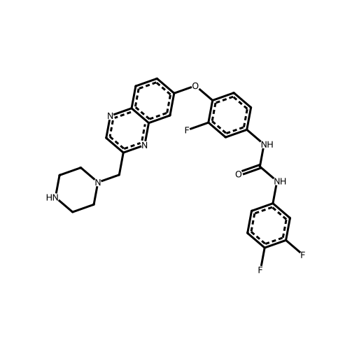 O=C(Nc1ccc(F)c(F)c1)Nc1ccc(Oc2ccc3ncc(CN4CCNCC4)nc3c2)c(F)c1